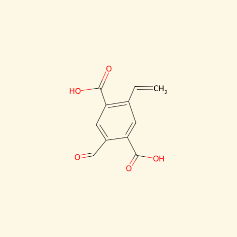 C=Cc1cc(C(=O)O)c(C=O)cc1C(=O)O